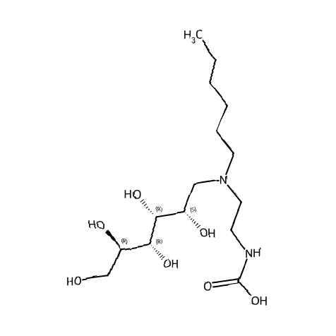 CCCCCCN(CCNC(=O)O)C[C@H](O)[C@@H](O)[C@H](O)[C@H](O)CO